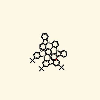 CC(C)(C)c1ccc2c(c1)B1c3c(cc(-c4c(-n5c6ccccc6c6ccccc65)cccc4-n4c5ccccc5c5ccccc54)cc3-n3c4ccc(C(C)(C)C)cc4c4cc(C(C)(C)C)cc1c43)O2